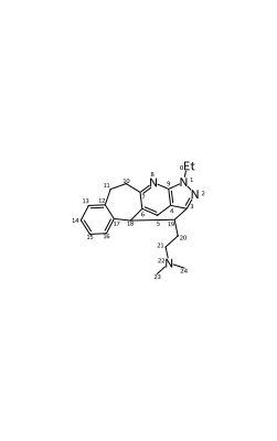 CCn1nc2c3cc4c(nc31)CCc1ccccc1C4C2CCN(C)C